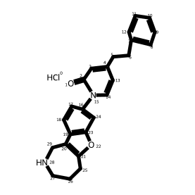 Cl.O=c1cc(CCc2ccccc2)ccn1-c1ccc2c3c(oc2c1)CCCNC3